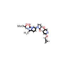 COC(=O)Cn1c(C)c2ccc(N3CC[C@@H](Oc4ccc(OCC5CC5)nc4)C3=O)cn2c1=O